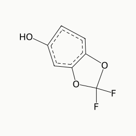 Oc1ccc2c(c1)OC(F)(F)O2